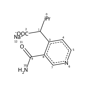 CC(C)C(C(=O)[O-])c1ccncc1C(N)=O.[Na+]